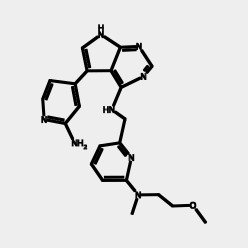 COCCN(C)c1cccc(CNc2ncnc3[nH]cc(-c4ccnc(N)c4)c23)n1